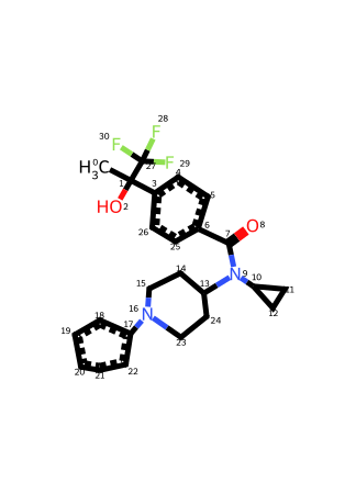 CC(O)(c1ccc(C(=O)N(C2CC2)C2CCN(c3ccccc3)CC2)cc1)C(F)(F)F